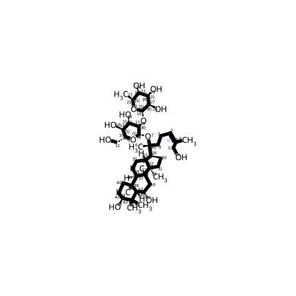 C/C(=C/CC[C@@](C)(O[C@@H]1O[C@H](CO)[C@@H](O)[C@H](O)[C@H]1O[C@@H]1O[C@@H](C)[C@H](O)[C@@H](O)[C@H]1O)[C@H]1CC[C@]2(C)[C@@H]1CC[C@@H]1[C@@]3(C)CC[C@H](O)C(C)(C)[C@@H]3[C@@H](O)C[C@]12C)CO